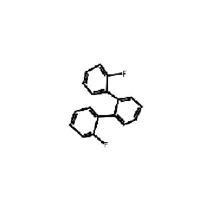 Fc1ccccc1-c1ccccc1-c1ccccc1F